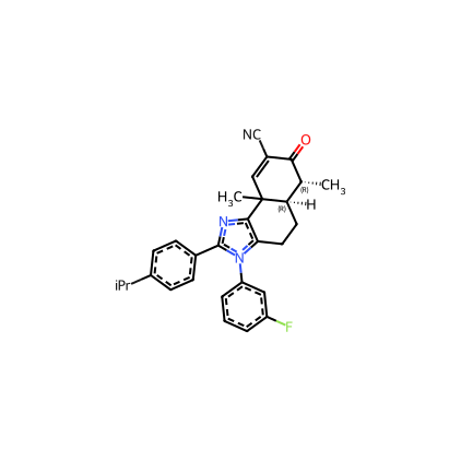 CC(C)c1ccc(-c2nc3c(n2-c2cccc(F)c2)CC[C@@H]2[C@@H](C)C(=O)C(C#N)=CC32C)cc1